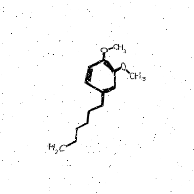 [CH2]CCCCCc1ccc(OC)c(OC)c1